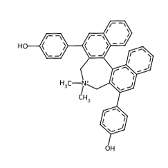 C[N+]1(C)Cc2c(-c3ccc(O)cc3)cc3ccccc3c2-c2c(c(-c3ccc(O)cc3)cc3ccccc23)C1